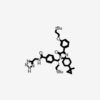 CC(C)(C)CCOc1cccc(C2=NC3(CCC(C4(C)CC4)CC3)N([C@H](CCC(C)(C)C)c3ccc(C(=O)NCc4nn[nH]n4)cc3)C2=O)c1